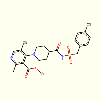 Cc1ncc(C#N)c(N2CCC(C(=O)NS(=O)(=O)Cc3ccc(C#N)cc3)CC2)c1C(=O)OC(C)C